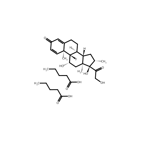 CCCCC(=O)O.CCCCC(=O)O.C[C@H]1C[C@H]2[C@@H]3CCC4=CC(=O)C=C[C@]4(C)[C@@]3(F)[C@@H](O)C[C@]2(C)[C@@]1(O)C(=O)CO